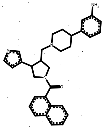 Nc1cccc(C2CCN(CC3CN(C(=O)c4cccc5ccccc45)CC3c3ccsc3)CC2)c1